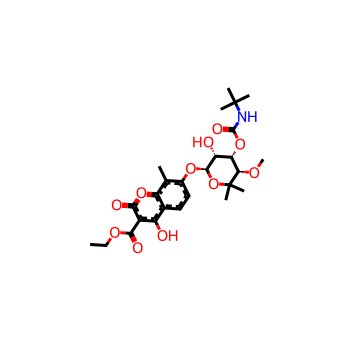 CCOC(=O)c1c(O)c2ccc(O[C@@H]3OC(C)(C)[C@H](OC)[C@@H](OC(=O)NC(C)(C)C)[C@H]3O)c(C)c2oc1=O